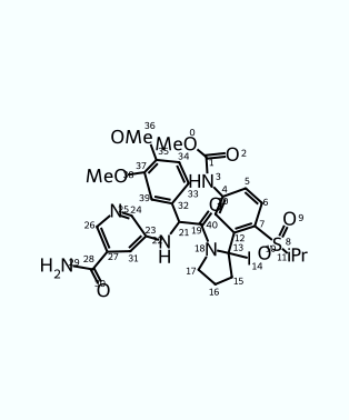 COC(=O)Nc1ccc(S(=O)(=O)C(C)C)c(C2(I)CCCN2C(=O)C(Nc2cncc(C(N)=O)c2)c2ccc(OC)c(OC)c2)c1